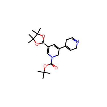 CC(C)(C)OC(=O)N1C=C(B2OC(C)(C)C(C)(C)O2)C=C(C2=CCN=CC2)C1